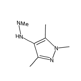 CNNc1c(C)nn(C)c1C